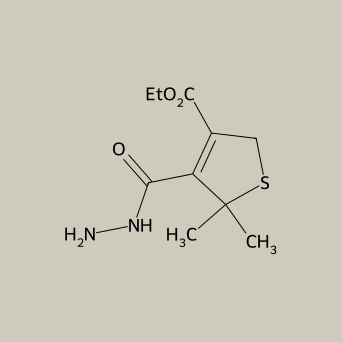 CCOC(=O)C1=C(C(=O)NN)C(C)(C)SC1